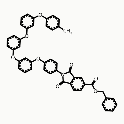 Cc1ccc(Oc2cccc(Oc3cccc(Oc4cccc(Oc5ccc(N6C(=O)c7ccc(C(=O)OCc8ccccc8)cc7C6=O)cc5)c4)c3)c2)cc1